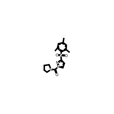 Cc1cc(C)c(S(=O)(=O)c2ccn(C(=O)N3CCCC3)n2)c(C)c1